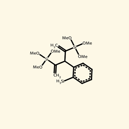 C=C(C(C(=C)[Si](OC)(OC)OC)c1ccccc1[SiH3])[Si](OC)(OC)OC